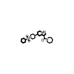 O=C(c1cnn2ccc(C3CCN(S(=O)(=O)c4ccccc4)CC3)cc12)N1CCCCCC1